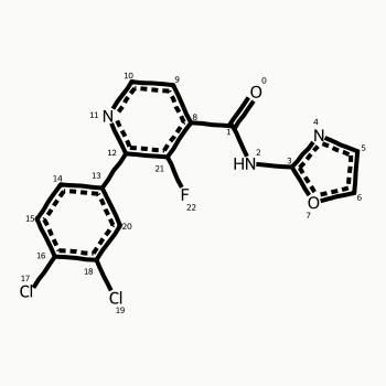 O=C(Nc1ncco1)c1ccnc(-c2ccc(Cl)c(Cl)c2)c1F